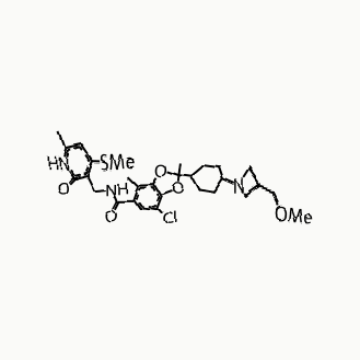 COCC1CN(C2CCC(C3(C)Oc4c(Cl)cc(C(=O)NCc5c(SC)cc(C)[nH]c5=O)c(C)c4O3)CC2)C1